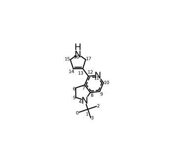 CC(C)(C)N1CCc2c1ccnc2C1=CCNC1